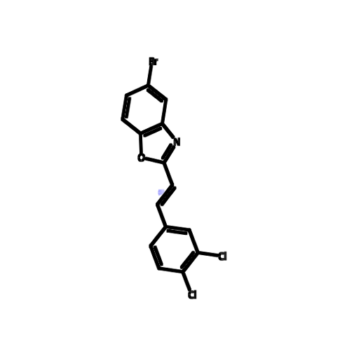 Clc1ccc(/C=C/c2nc3cc(Br)ccc3o2)cc1Cl